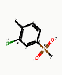 Cc1[c]cc(S(C)(=O)=O)cc1Cl